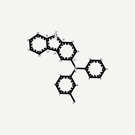 Cc1cccc(N(c2ccccc2)c2ccc3oc4ccccc4c3c2)c1